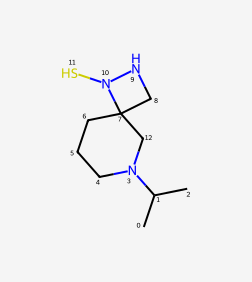 CC(C)N1CCCC2(CNN2S)C1